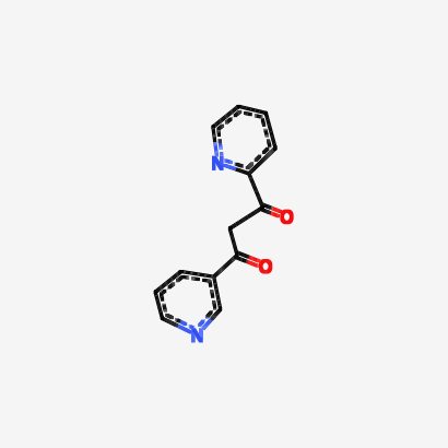 O=C(CC(=O)c1ccccn1)c1cccnc1